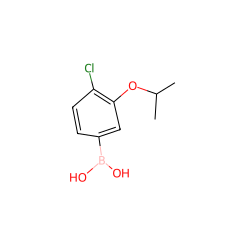 CC(C)Oc1cc(B(O)O)ccc1Cl